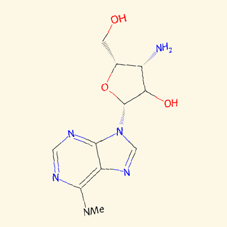 CNc1ncnc2c1ncn2[C@@H]1O[C@H](CO)[C@H](N)C1O